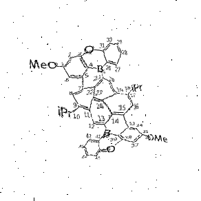 COc1cc2c3c(c1)-c1cc(C(C)C)c4cc5c6c(cc(C(C)C)c7cc(c1c4c76)B3c1ccccc1O2)-c1cc(OC)cc2c1B5c1ccccc1O2